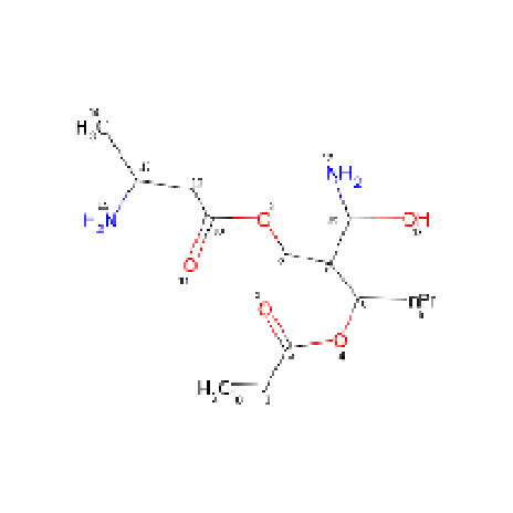 C=CC(=O)OC(CCC)C(COC(=O)CC(C)N)C(N)O